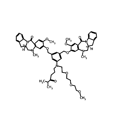 COCCOCCOCCN(CCCC(=O)C(C)C)c1cc(COc2cc3c(cc2OC)C(=O)N2c4ccccc4C[C@H]2CN3C)cc(COc2cc3c(cc2OC)C(=O)N2c4ccccc4C[C@H]2CN3C)c1